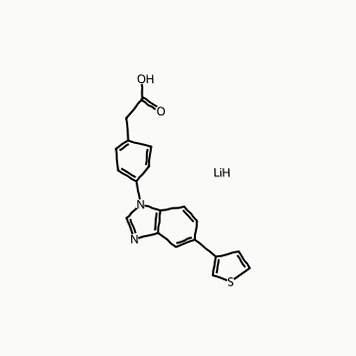 O=C(O)Cc1ccc(-n2cnc3cc(-c4ccsc4)ccc32)cc1.[LiH]